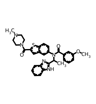 COc1cccc(C(=O)N(c2ccc3sc(C(=O)N4CCN(C)CC4)cc3c2)C(C)c2nc3ccccc3[nH]2)c1